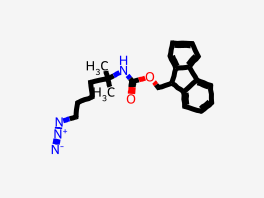 CC(C)(CCCCN=[N+]=[N-])NC(=O)OCC1c2ccccc2-c2ccccc21